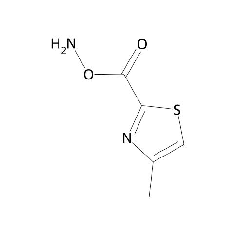 Cc1csc(C(=O)ON)n1